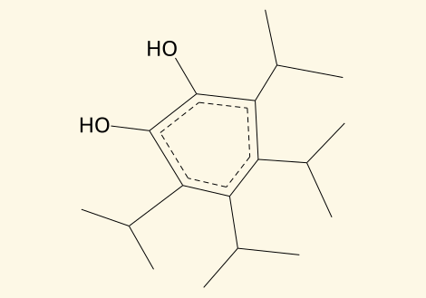 CC(C)c1c(O)c(O)c(C(C)C)c(C(C)C)c1C(C)C